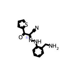 N#C/C(=N\Nc1ccccc1CN)C(=O)c1cccs1